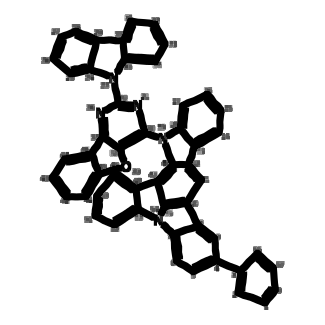 c1ccc(-c2ccc3c(c2)c2cc4c5ccccc5n(-c5nc(-n6c7ccccc7c7ccccc76)nc6c5oc5ccccc56)c4c4c5ccccc5n3c24)cc1